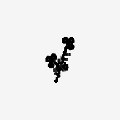 C=CCOC(=O)C[C@H](O)[C@H](NC(=O)C(CSC(c1ccccc1)(c1ccccc1)c1ccccc1)NC(=O)[C@@H](Cc1ccccc1)NC(=O)C[C@H](O)C=CCCSC(c1ccccc1)(c1ccccc1)c1ccccc1)C(C)C